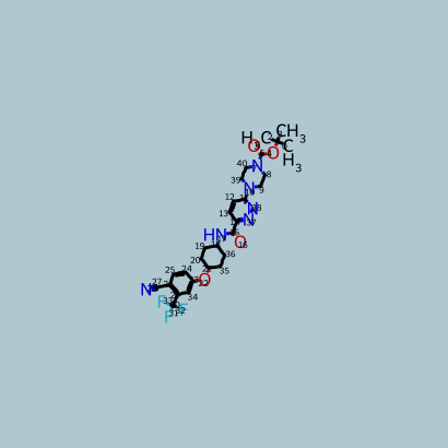 CC(C)(C)OC(=O)N1CCN(c2ccc(C(=O)N[C@H]3CC[C@H](Oc4ccc(C#N)c(C(F)(F)F)c4)CC3)nn2)CC1